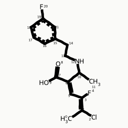 C/C(Cl)=C(F)\C=C(\C(=O)O)C(C)NCCc1cccc(F)c1